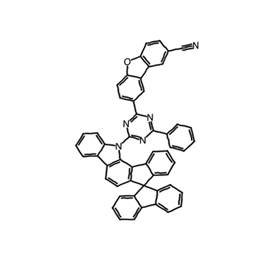 N#Cc1ccc2oc3ccc(-c4nc(-c5ccccc5)nc(-n5c6ccccc6c6ccc7c(c65)-c5ccccc5C75c6ccccc6-c6ccccc65)n4)cc3c2c1